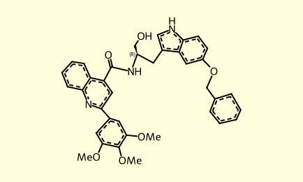 COc1cc(-c2cc(C(=O)N[C@@H](CO)Cc3c[nH]c4ccc(OCc5ccccc5)cc34)c3ccccc3n2)cc(OC)c1OC